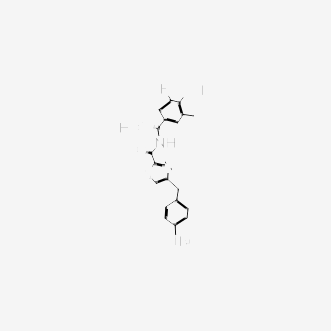 Cc1c(F)cc([C@@H](C)NC(=O)c2nc(Cc3ccc(C(C)(C)C)cc3)cs2)cc1F